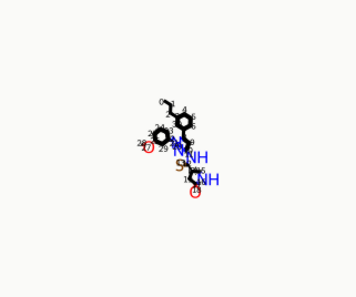 CCCc1cccc(-c2cc(NC(=S)[C@H]3CNC(=O)C3)nn2-c2cccc(OC)c2)c1